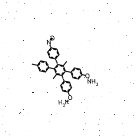 Cc1ccc(-c2c(C)c(-c3ccc(ON)cc3)c(-c3ccc(ON)cc3)c(C)c2-c2ccc(N=O)cc2)cc1